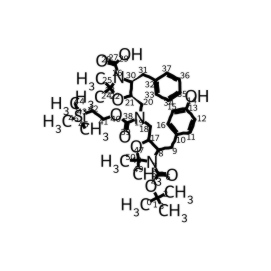 CC(C)(C)OC(=O)N1C(Cc2ccc(O)cc2)C(CN(C[C@H]2OC(C)(C)N(C(=O)O)[C@H]2Cc2ccccc2)C(=O)OCC[Si](C)(C)C)OC1(C)C